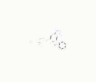 CC(CCC1=CC2=NN=NC2=C(c2ccccc2)C1(Cl)C(C)(C)C)C(C)(C)C